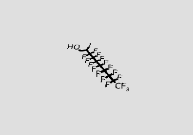 OCC(I)C(F)(F)C(F)(F)C(F)(F)C(F)(F)C(F)(F)C(F)(F)C(F)(F)C(F)(F)F